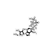 NC1c2ncn([C@@H]3O[C@H](CO)C(O)C3O)c2N=CN1S(S)(S)P(=O)(O)OP(=O)(O)OP(=O)(O)O